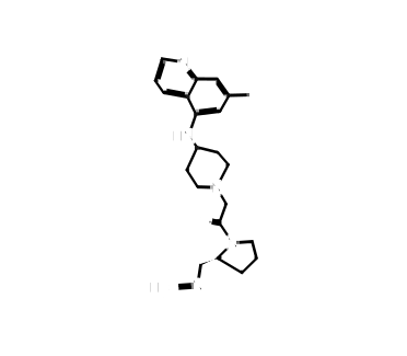 C=NC[C@@H]1CCCN1C(=O)CN1CCC(Nc2cc(F)cc3ncccc23)CC1